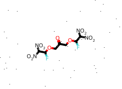 O=C(COC(F)C([N+](=O)[O-])[N+](=O)[O-])COC(F)C([N+](=O)[O-])[N+](=O)[O-]